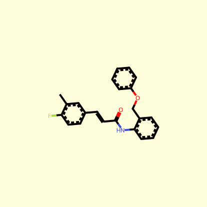 Cc1cc(/C=C/C(=O)Nc2ccccc2COc2ccccc2)ccc1F